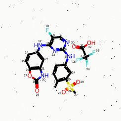 Cc1ccc(Nc2ncc(F)c(Nc3ccc4oc(=O)[nH]c4c3)n2)cc1S(C)(=O)=O.O=C(O)C(F)(F)F